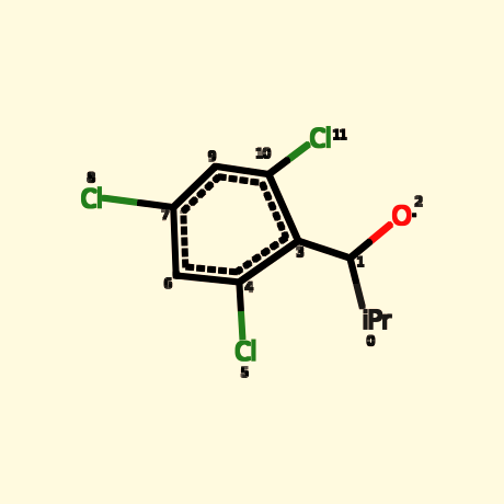 CC(C)C([O])c1c(Cl)cc(Cl)cc1Cl